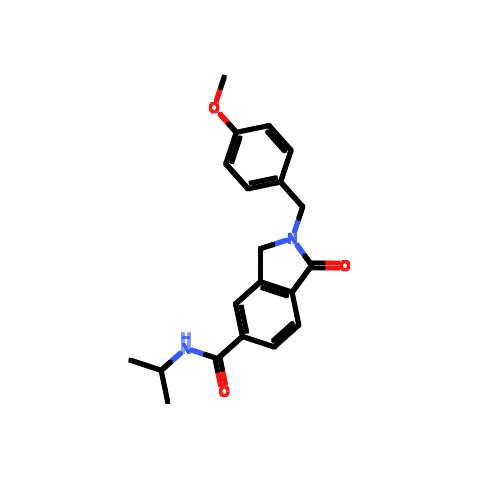 COc1ccc(CN2Cc3cc(C(=O)NC(C)C)ccc3C2=O)cc1